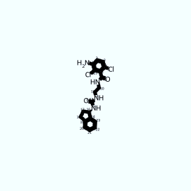 Nc1ccc(Cl)c(C(=O)NCCNC(=O)N[C@@H]2CCc3ccccc32)c1Cl